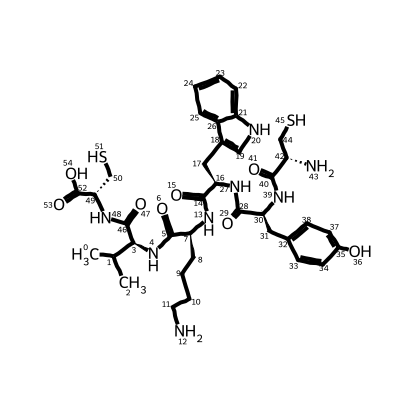 CC(C)[C@H](NC(=O)[C@H](CCCCN)NC(=O)[C@@H](Cc1c[nH]c2ccccc12)NC(=O)[C@H](Cc1ccc(O)cc1)NC(=O)[C@@H](N)CS)C(=O)N[C@@H](CS)C(=O)O